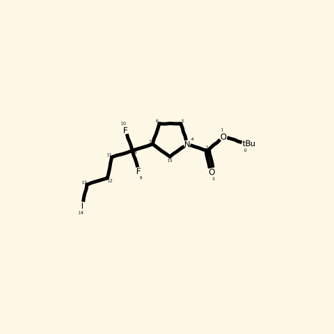 CC(C)(C)OC(=O)N1CCC(C(F)(F)CCCI)C1